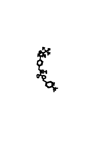 CN(C)c1ccc(COC(=O)NCc2ccc(-c3noc(C(F)(F)F)n3)cc2)cn1